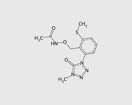 CSc1cccc(-n2nnn(C)c2=O)c1CONC(C)=O